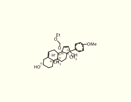 CCOCO[C@]12C=C[C@](O)(c3ccc(OC)cc3)[C@@]1(C)CC[C@H]1[C@H]2CC=C2C[C@@H](O)CC[C@@]21C